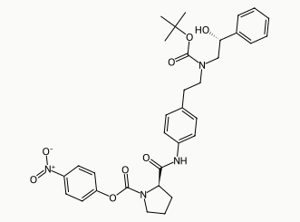 CC(C)(C)OC(=O)N(CCc1ccc(NC(=O)[C@H]2CCCN2C(=O)Oc2ccc([N+](=O)[O-])cc2)cc1)C[C@H](O)c1ccccc1